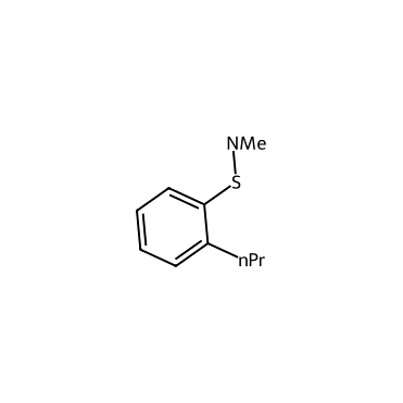 CCCc1ccccc1SNC